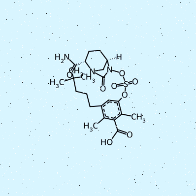 Cc1c(CCCC(C)(C)C)cc(OS(=O)(=O)ON2C(=O)N3C[C@H]2CC[C@H]3C(N)=O)c(C)c1C(=O)O